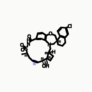 C[C@@H]1C/C=C\[C@@H](O)[C@@H]2CC[C@H]2CN2C[C@@]3(CCCc4cc(Cl)ccc43)COc3ccc(cc32)C(=O)NS1(=O)=O